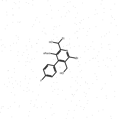 CCCCCc1c(C(O)CC)nc(C(C)C)c(CO)c1-c1ccc(F)cc1